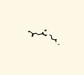 C=CC(=O)CCc1cn(CCC(=O)NCC)nn1